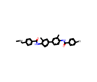 CBCc1ccc(C(=O)Nc2ccc(-c3ccc(NC(=O)c4ccc(CC)cc4)c(C)c3)cc2C)cc1